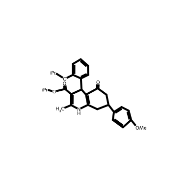 COc1ccc(C2CC(=O)C3=C(C2)NC(C)=C(C(=O)OC(C)C)C3c2ccccc2OC(C)C)cc1